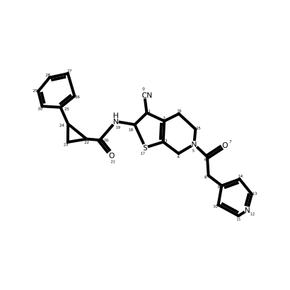 N#CC1C2=C(CN(C(=O)Cc3ccncc3)CC2)SC1NC(=O)C1CC1c1ccccc1